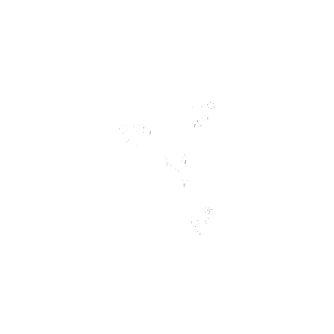 CN1Cc2c(Cl)cc(Cl)cc2[C@H](c2cccc(S(=O)(=O)NCCOCCOCCNC(=O)NCCN(CCNC(=O)NCCOCCOCCNS(=O)(=O)c3cccc([C@@H]4CN(C)Cc5c(Cl)cc(Cl)cc54)c3)CCNC(=O)NCCOCCOCCNS(=O)(=O)c3cccc([C@@H]4CN(C)Cc5c(Cl)cc(Cl)cc54)c3)c2)C1